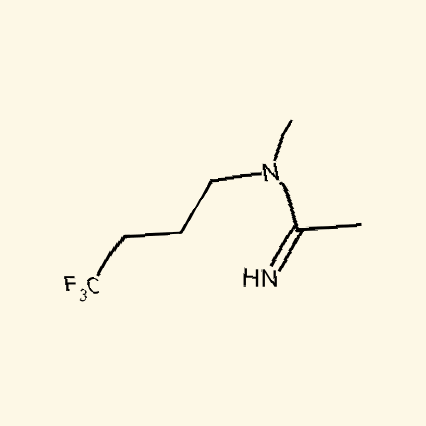 CC(=N)N(C)CCCC(F)(F)F